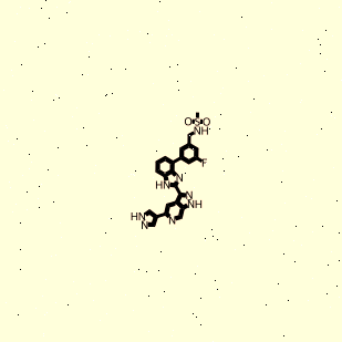 CS(=O)(=O)NCc1cc(F)cc(-c2cccc3[nH]c(-c4n[nH]c5cnc(-c6cn[nH]c6)cc45)nc23)c1